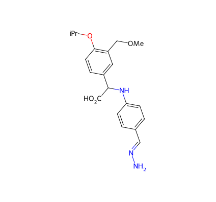 COCc1cc(C(Nc2ccc(C=NN)cc2)C(=O)O)ccc1OC(C)C